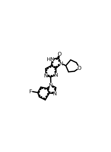 O=c1[nH]c2cnc(-n3cnc4ccc(F)cc43)nc2n1C1CCOCC1